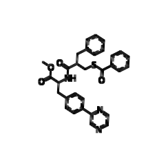 COC(=O)C(Cc1ccc(-c2cnccn2)cc1)NC(=O)C(CSC(=O)c1ccccc1)Cc1ccccc1